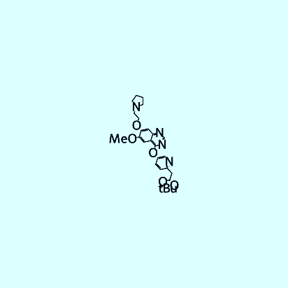 COc1cc2c(Oc3ccc(CC(=O)OC(C)(C)C)nc3)ncnc2cc1OCCN1CCCC1